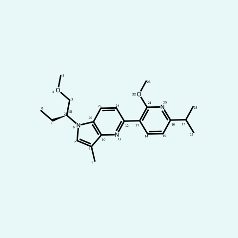 CC[C@@H](COC)n1cc(C)c2nc(-c3ccc(C(C)C)nc3OC)ccc21